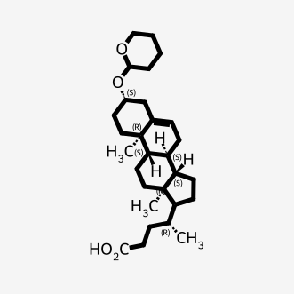 C[C@H](CCC(=O)O)C1CC[C@H]2[C@@H]3CC=C4C[C@@H](OC5CCCCO5)CC[C@]4(C)[C@H]3CC[C@]12C